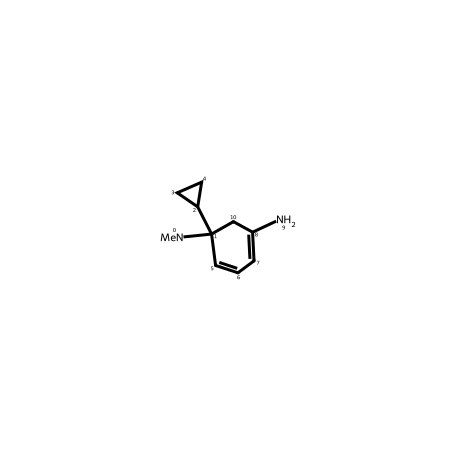 CNC1(C2CC2)C=CC=C(N)C1